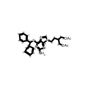 CC(=O)OCC(CCn1cnc2c(SC(c3ccccc3)c3ccccc3)nc(N)nc21)COC(C)=O